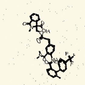 Cc1cccc(C(=O)Nc2ccc(CC(=O)OCC3(C(=O)O)c4ccccc4C(=O)N3C)cc2C(=O)N(C)C)c1-c1ccc(C(F)(F)F)cc1